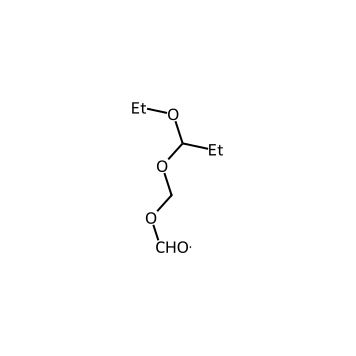 CCOC(CC)OCO[C]=O